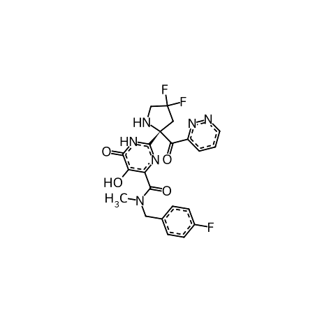 CN(Cc1ccc(F)cc1)C(=O)c1nc([C@]2(C(=O)c3cccnn3)CC(F)(F)CN2)[nH]c(=O)c1O